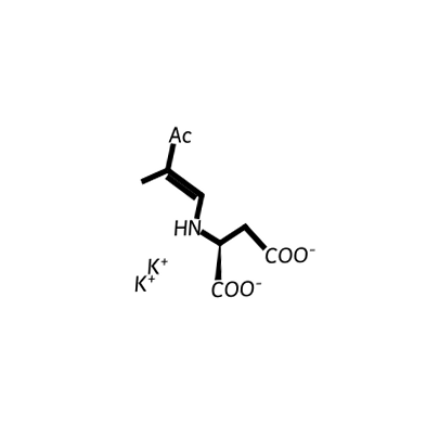 CC(=O)C(C)=CN[C@@H](CC(=O)[O-])C(=O)[O-].[K+].[K+]